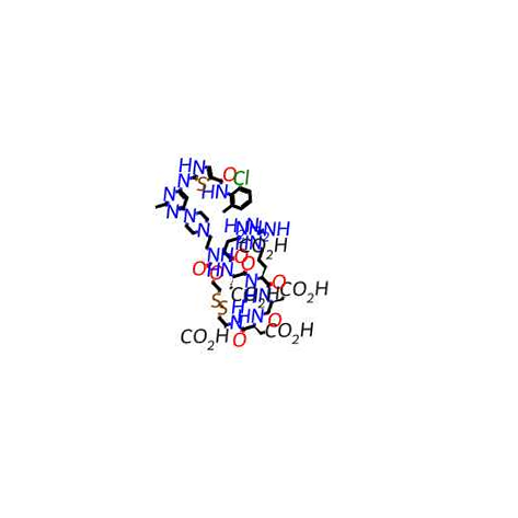 Cc1nc(Nc2ncc(C(=O)Nc3c(C)cccc3Cl)s2)cc(N2CCN(CCNC(=O)OCCSSC[C@H](NC(=O)[C@H](CC(=O)O)NC(=O)[C@H](CC(=O)O)NC(=O)[C@H](CCCNC(=N)N)NC(=O)[C@H](CC(=O)O)NC(=O)CC[C@H](N)C(=O)O)C(=O)O)CC2)n1